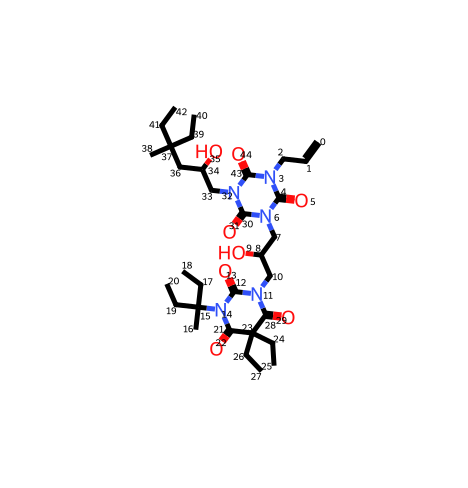 C=CCn1c(=O)n(CC(O)CN2C(=O)N(C(C)(CC)CC)C(=O)C(CC)(CC)C2=O)c(=O)n(CC(O)CC(C)(CC)CC)c1=O